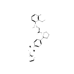 CCc1c(F)cccc1N(C)[C@H](C)C(=O)N1CCCC1c1ccc(S(=O)(=O)Nc2nccs2)cc1